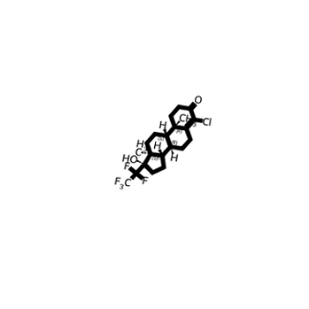 C[C@]12CCC(=O)C(Cl)=C1CC[C@@H]1[C@@H]2CC[C@@]2(C)[C@H]1CC[C@@]2(O)C(F)(F)C(F)(F)F